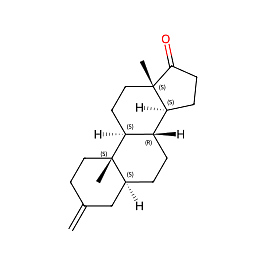 C=C1CC[C@@]2(C)[C@@H](CC[C@@H]3[C@@H]2CC[C@]2(C)C(=O)CC[C@@H]32)C1